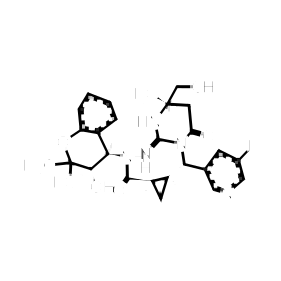 CC[C@]1(C)CC(=O)N(C(c2cncc(F)c2)[C@@H]2C[C@H]2C(=O)N[C@@H]2c3ccccc3OC(C)(C)[C@H]2O)C(=N)N1